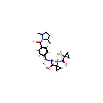 CC1CCC(C)N1C(=O)c1ccc([C@@H](C)NC(=O)C2(NC(=O)C3(O)CC3)CC2)cc1